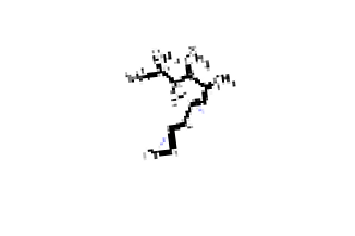 C=C(/C=C/C/C=C/C(C)C)C(C)C(C)C(N)C(C)C